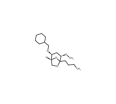 CCCCC12OC[C@@H](O1)[C@@H](OCC1CCCCC1)C[C@H]2OC